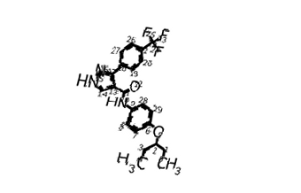 CCC(CC)Oc1ccc(NC(=O)c2c[nH]nc2-c2ccc(C(F)(F)F)cc2)cc1